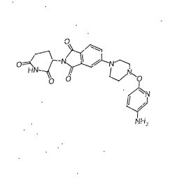 Nc1ccc(ON2CCN(c3ccc4c(c3)C(=O)N(C3CCC(=O)NC3=O)C4=O)CC2)nc1